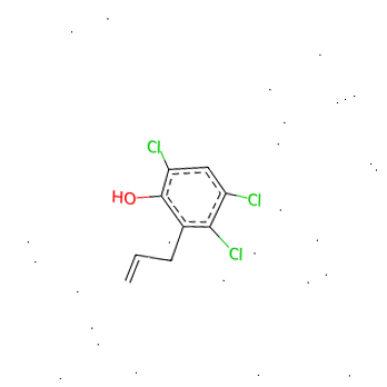 C=CCc1c(O)c(Cl)cc(Cl)c1Cl